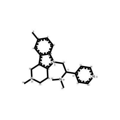 Cc1ccc2c(c1)c1c(n2CC(c2ccncc2)N(C)C)CCN(C)C1